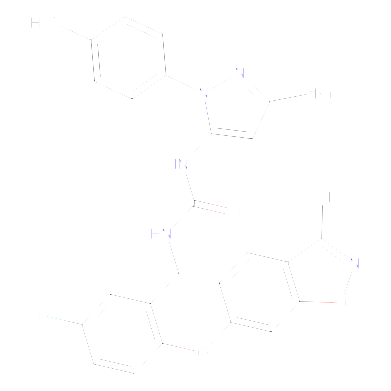 Cc1ccc(-n2nc(C(C)(C)C)cc2NC(=O)NCc2cc(F)ccc2Oc2ccc3c(C)noc3c2)cc1